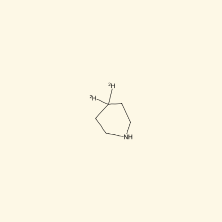 [2H]C1([2H])CCNCC1